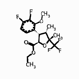 CCOC(=O)[C@@H]1O[C@@](C)(C(F)(F)F)[C@@H](C)[C@H]1c1ccc(F)c(F)c1OC